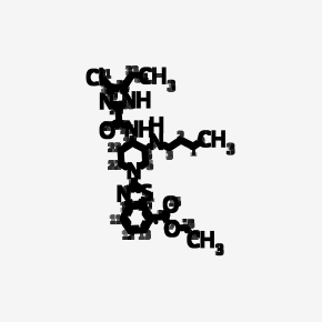 CCCCN[C@H]1CN(c2nc3cccc(C(=O)OCC)c3s2)CC[C@H]1NC(=O)c1nc(Cl)c(CC)[nH]1